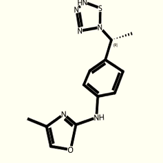 Cc1coc(Nc2ccc([C@@H](C)N3N=NNS3)cc2)n1